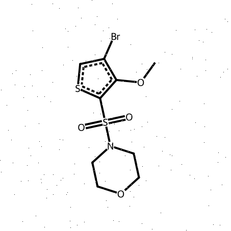 COc1c(Br)csc1S(=O)(=O)N1CCOCC1